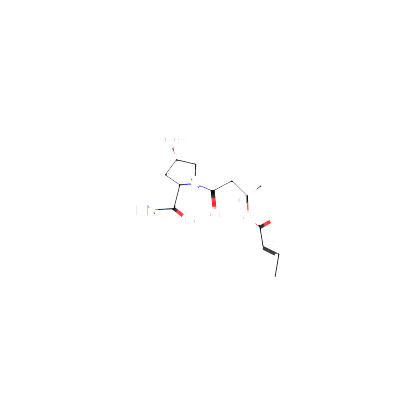 C/C=C/C(=O)O[C@H](C)CC(=O)N1C[C@H](O)CC1C(N)=O